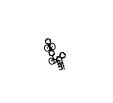 CCC(Cc1ccccc1)(O[Si](C)(C)[Si](C)(C)C)C(=O)c1ccc(S(=O)(=O)c2ccccc2)cc1